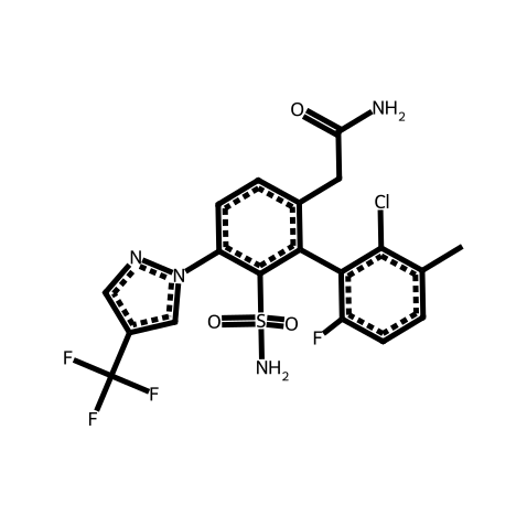 Cc1ccc(F)c(-c2c(CC(N)=O)ccc(-n3cc(C(F)(F)F)cn3)c2S(N)(=O)=O)c1Cl